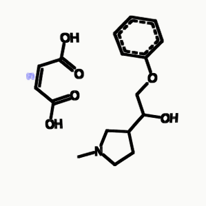 CN1CCC(C(O)COc2ccccc2)C1.O=C(O)/C=C\C(=O)O